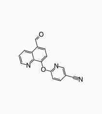 N#Cc1ccc(Oc2ccc(C=O)c3cccnc23)nc1